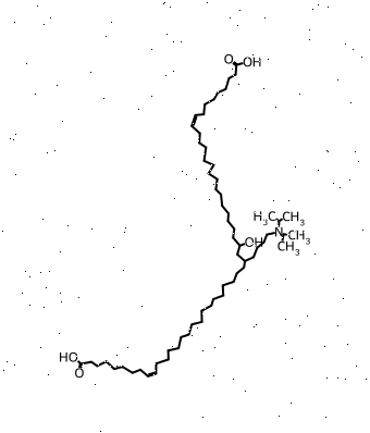 CC(C)N(CCCCC(CCCCCCCCCCCCCCCC/C=C\CCCCCCCC(=O)O)CC(O)CCCCCCCCCCCCCC/C=C\CCCCCCCC(=O)O)C(C)C